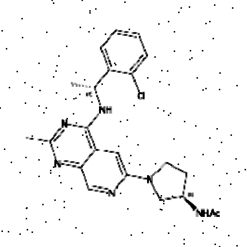 CC(=O)N[C@@H]1CCN(c2cc3c(N[C@H](C)c4ccccc4Cl)nc(C)nc3cn2)C1